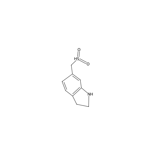 O=[SH](=O)Cc1ccc2c(c1)NCC2